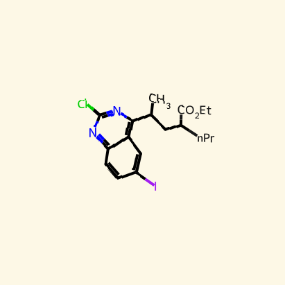 CCCC(CC(C)c1nc(Cl)nc2ccc(I)cc12)C(=O)OCC